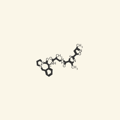 Cc1cc(-c2nc(C)c(C(=O)NCC(C)C(=O)N[C@@H]3C(=O)N4CCCN4Cc4ccccc43)s2)on1